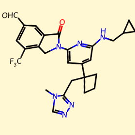 Cn1cnnc1CC1(c2cc(NCC3CC3)nc(N3Cc4c(cc(C=O)cc4C(F)(F)F)C3=O)c2)CCC1